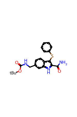 CC(C)(C)OC(=O)NCc1ccc2c(Sc3ccccc3)c(C(N)=O)[nH]c2c1